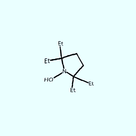 CCC1(CC)CCC(CC)(CC)N1O